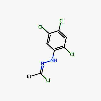 CCC(Cl)=NNc1cc(Cl)c(Cl)cc1Cl